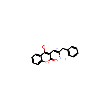 N/C(=C\c1c(O)c2ccccc2oc1=O)Cc1ccccc1